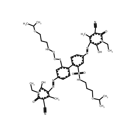 CCn1c(O)c(N=Nc2ccc(-c3ccc(N=Nc4c(C)c(C#N)c(=O)n(CC)c4O)cc3S(=O)(=O)NCCCOC(C)C)c(SOONCCCOC(C)C)c2)c(C)c(C#N)c1=O